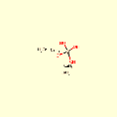 O[Si](O)(O)O.[CaH2].[CaH2].[CaH2].[CaH2]